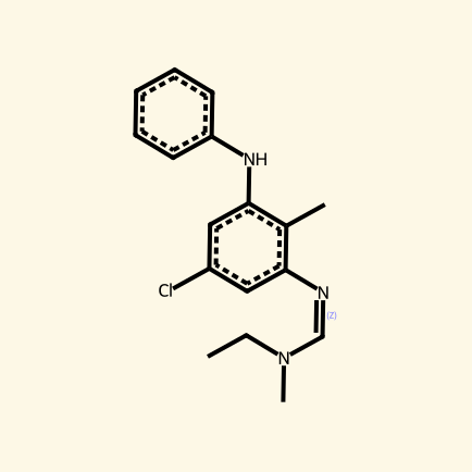 CCN(C)/C=N\c1cc(Cl)cc(Nc2ccccc2)c1C